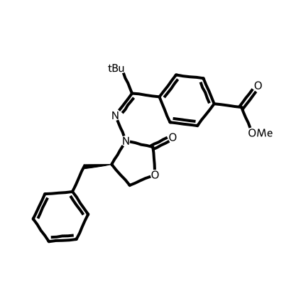 COC(=O)c1ccc(/C(=N\N2C(=O)OC[C@H]2Cc2ccccc2)C(C)(C)C)cc1